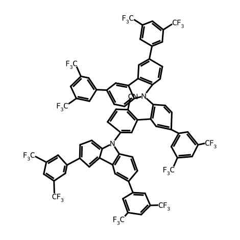 N#Cc1ccc(-n2c3ccc(-c4cc(C(F)(F)F)cc(C(F)(F)F)c4)cc3c3cc(-c4cc(C(F)(F)F)cc(C(F)(F)F)c4)ccc32)cc1-c1cc(-c2cc(C(F)(F)F)cc(C(F)(F)F)c2)ccc1-n1c2ccc(-c3cc(C(F)(F)F)cc(C(F)(F)F)c3)cc2c2cc(-c3cc(C(F)(F)F)cc(C(F)(F)F)c3)ccc21